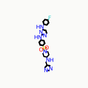 O=S(=O)(c1ccc(Nc2nccc(Nc3ccc(F)cc3)n2)cc1)N1CCC(NCc2cncnc2)CC1